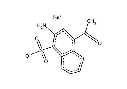 CC(=O)c1cc(N)c(S(=O)(=O)[O-])c2ccccc12.[Na+]